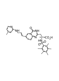 Cc1ccnc(NCC=Cc2ccc3nc(C[C@H](NS(=O)(=O)c4c(C)c(C)c(C)c(C)c4C)C(=O)O)[nH]c(=O)c3c2)c1